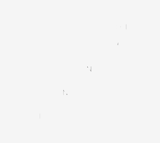 O[C@@H]1CCCN(c2cccc(F)n2)C1